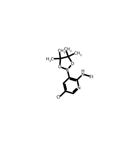 CCNc1ncc(Cl)cc1B1OC(C)(C)C(C)(C)O1